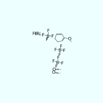 COC1=CCCC=C1.F[B-](F)(F)F.F[B-](F)(F)F.F[B-](F)(F)F.[C]=O.[C]=O.[C]=O.[Fe+3]